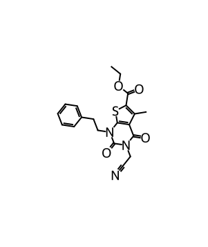 CCOC(=O)c1sc2c(c1C)c(=O)n(CC#N)c(=O)n2CCc1ccccc1